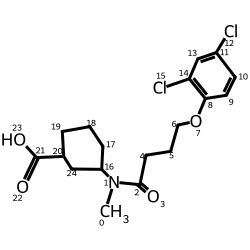 CN(C(=O)CCCOc1ccc(Cl)cc1Cl)C1CCCC(C(=O)O)C1